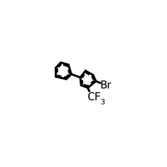 FC(F)(F)c1cc(-c2ccccc2)ccc1Br